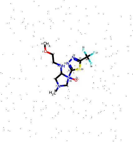 COCCNC1CN(C)C[N+]1([O-])c1nnc(C(F)(F)F)s1